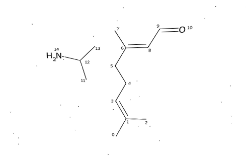 CC(C)=CCCC(C)=CC=O.CC(C)N